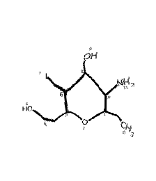 CC1OC(CO)C(I)C(O)C1N